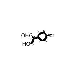 O=CC(=CO)c1ccc(Br)cc1